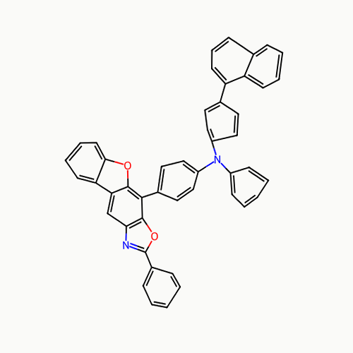 c1ccc(-c2nc3cc4c(oc5ccccc54)c(-c4ccc(N(c5ccccc5)c5ccc(-c6cccc7ccccc67)cc5)cc4)c3o2)cc1